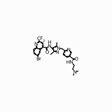 Cc1nn(Cc2ccc(C(=O)NCCN(C)C)cn2)c(C)c1NC(=O)c1cc(C(F)(F)F)nc2ccc(Br)cc12